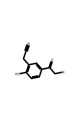 N#CCc1cc(C(=O)CBr)ccc1O